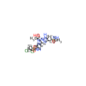 C[C@H](CO)Nc1nc(Nc2ccc(S(C)(=N)=O)cc2)ncc1-c1ccc(NS(=O)(=O)c2cccc(Cl)c2Cl)cc1